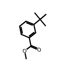 COC(=O)c1cccc(C(C)(C)C)c1